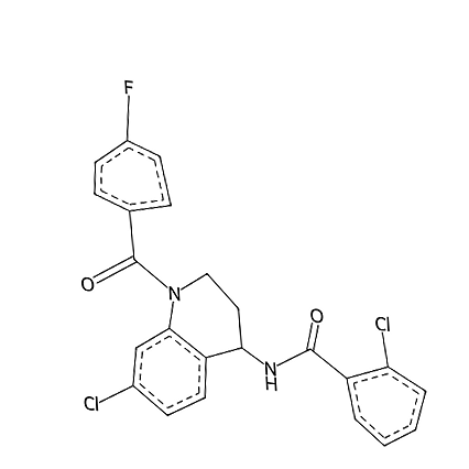 O=C(NC1CCN(C(=O)c2ccc(F)cc2)c2cc(Cl)ccc21)c1ccccc1Cl